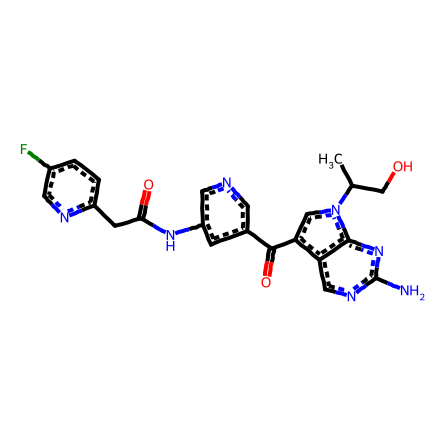 CC(CO)n1cc(C(=O)c2cncc(NC(=O)Cc3ccc(F)cn3)c2)c2cnc(N)nc21